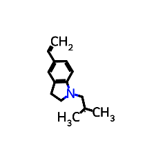 C=Cc1ccc2c(c1)CCN2C[C](C)C